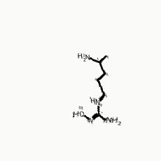 CC(N)CCCN/C(N)=N\O